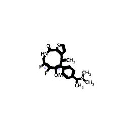 C=C1/C(c2ccc(C(C)N(C)C)cc2)=C(OC)\C(F)=C(\F)CNC(=O)c2sccc21